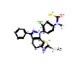 CCN(C(=O)S)c1ccc(-n2nc(-c3ccccc3)c3c2-c2sc(NC(C)=O)nc2CC3)c(Cl)c1